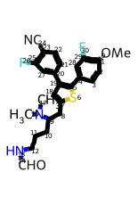 COc1ccc(-c2sc(CC(CCCNC=O)N(C)C)cc2-c2ccc(C#N)c(F)c2)cc1F